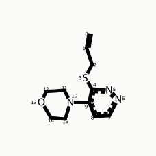 C=CCSc1nnccc1N1CCOCC1